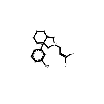 CC(C)=CCN1CC2CCCCC2(c2cccc(O)c2)C1